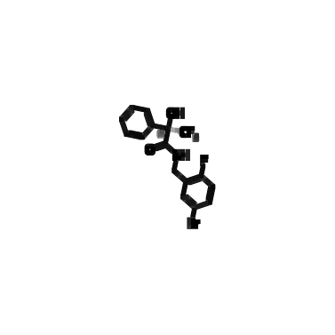 O=C(NCc1cc(Br)ccc1F)[C@](O)(c1ccccc1)C(F)(F)F